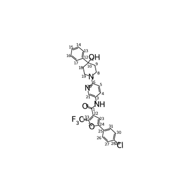 O=C(Nc1ccc(N2CCC(O)(c3ccccc3)CC2)nc1)c1cc(-c2ccc(Cl)cc2)oc1C(F)(F)F